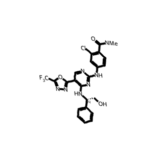 CNC(=O)c1ccc(Nc2ncc(-c3nnc(C(F)(F)F)o3)c(N[C@H](CO)c3ccccc3)n2)cc1Cl